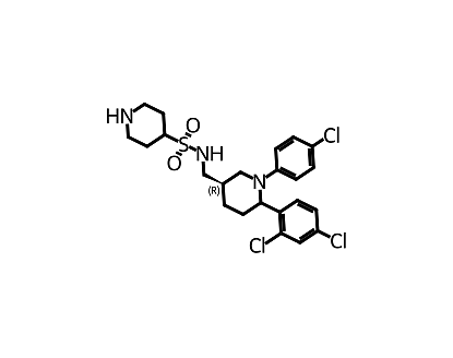 O=S(=O)(NC[C@@H]1CCC(c2ccc(Cl)cc2Cl)N(c2ccc(Cl)cc2)C1)C1CCNCC1